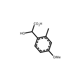 COc1ccc(C(O)C(=O)O)c(C)c1